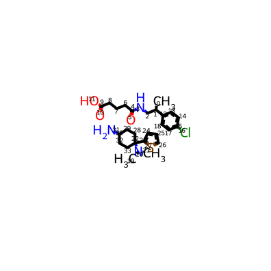 CC(CNC(=O)CCCC(=O)O)c1ccc(Cl)cc1.CN(C)C1(c2cccs2)CCC(N)CC1